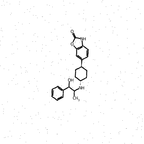 CC(N[C@H]1CC[C@H](c2ccc3[nH]c(=O)oc3c2)CC1)C(O)c1ccccc1